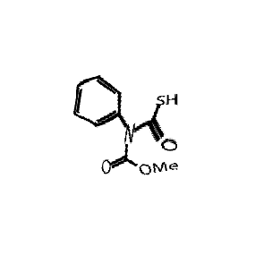 COC(=O)N(C(=O)S)c1ccccc1